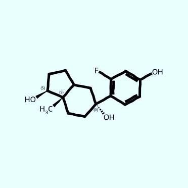 C[C@]12CC[C@](O)(c3ccc(O)cc3F)CC1CC[C@@H]2O